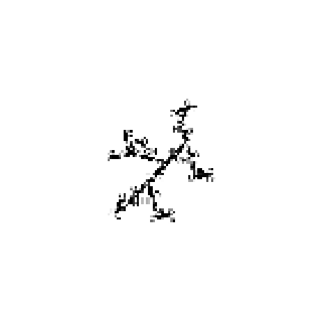 COC(=O)C1CC(=O)N(CCNC(=O)CCN(CCNC(=O)CCN(CCSCC(O)COCC(COCC2CO2)(COCC2CO2)COCC2CO2)CCC(=O)NCCN(CCC(=O)NCCN2CC(C(=O)OC)CC2=O)CCC(=O)NCCN2CC(C(=O)OC)CC2=O)CCC(=O)NCCN2CC(C(=O)OC)CC2=O)C1